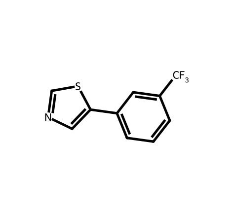 FC(F)(F)c1cccc(-c2cncs2)c1